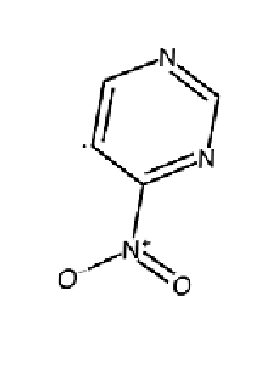 O=[N+]([O-])c1[c]cncn1